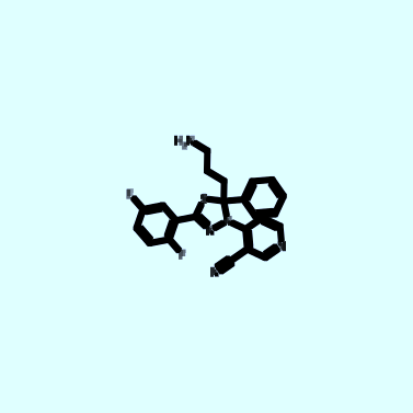 N#Cc1cnccc1N1N=C(c2cc(F)ccc2F)SC1(CCCN)c1ccccc1